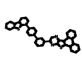 c1cc(-c2ccc(-c3cccc4c3sc3ccccc34)cc2)cc(-c2cnc3c(n2)sc2c4ccccc4c4ccccc4c32)c1